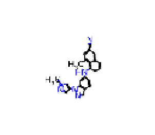 Cc1cc(C#N)cc2c1C(Nc1ccc3cnn(-c4cnn(C)c4)c3c1)CCC2